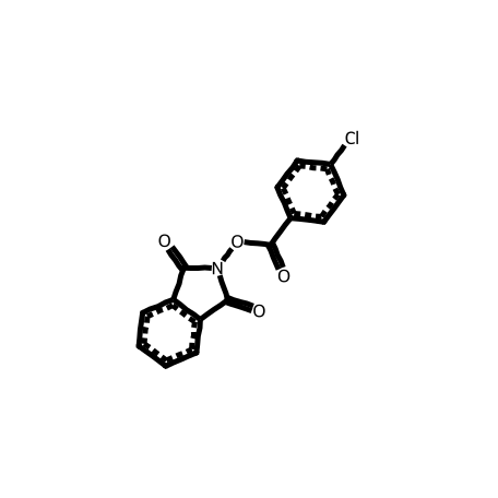 O=C(ON1C(=O)c2ccccc2C1=O)c1ccc(Cl)cc1